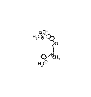 COc1ccccc1CCN(C)CCCCC(=O)c1ccc2c(c1)CC(N(C)S(C)(=O)=O)C2